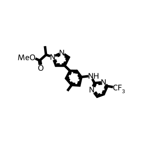 COC(=O)C(C)n1cc(-c2cc(C)cc(Nc3nccc(C(F)(F)F)n3)c2)cn1